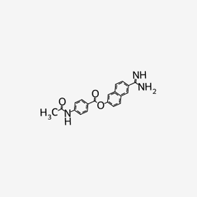 CC(=O)Nc1ccc(C(=O)Oc2ccc3cc(C(=N)N)ccc3c2)cc1